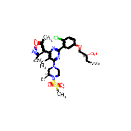 CC[C@H]1CN(c2nc(-c3cc(OC[C@H](O)CNC)ccc3Cl)nc(-c3c(C)noc3C)c2C)CCN1S(C)(=O)=O